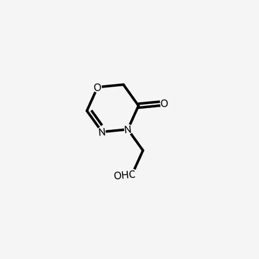 O=CCN1N=COCC1=O